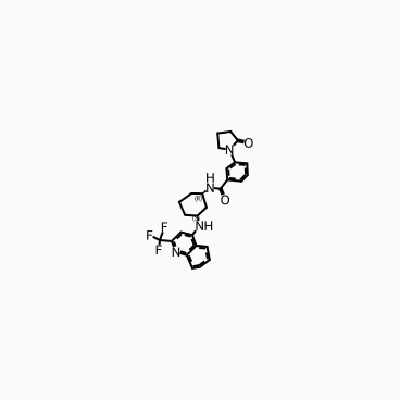 O=C(N[C@@H]1CCC[C@H](Nc2cc(C(F)(F)F)nc3ccccc23)C1)c1cccc(N2CCCC2=O)c1